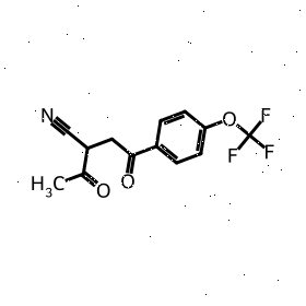 CC(=O)C(C#N)CC(=O)c1ccc(OC(F)(F)F)cc1